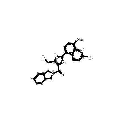 COc1ccc(-c2nc(C(=O)N3CC4C=CC=CC4C3)c(CN)o2)c2ccc(C(F)(F)F)nc12